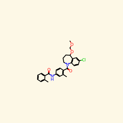 COCOC1CCCN(C(=O)c2ccc(NC(=O)c3ccccc3C)cc2C)c2ccc(Cl)cc21